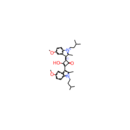 COc1ccc2c(c1)/C(=C1/C(=O)C(c3c(C)n(CCC(C)C)c4ccc(OC)cc34)=C1O)C(C)=[N+]2CCC(C)C